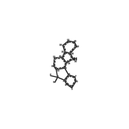 CC1(C)c2ccccc2-c2c1ccc1c2[nH]c2ccccc21